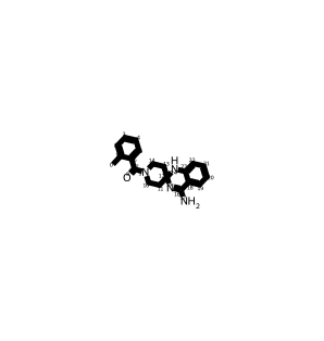 Cc1ccccc1C(=O)N1CCC2(CC1)N=C(N)c1ccccc1N2